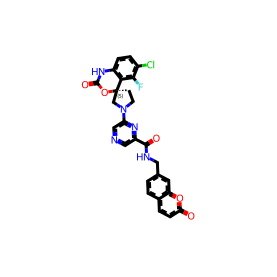 O=C1Nc2ccc(Cl)c(F)c2[C@]2(CCN(c3cncc(C(=O)NCc4ccc5ccc(=O)oc5c4)n3)C2)O1